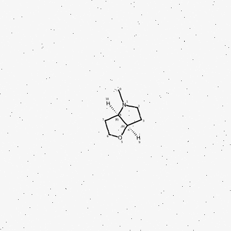 CN1CC[C@H]2OCC[C@H]21